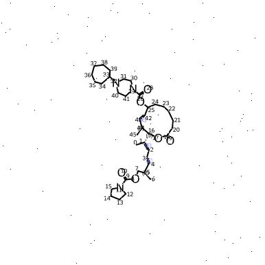 C/C(=C\C=C\[C@@H](C)COC(=O)N1CCCC1)[C@H]1OC(=O)CCCCCC(OC(=O)N2CCN(C3CCCCCC3)CC2)/C=C/[C@@H]1C